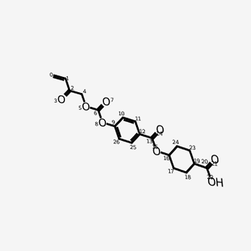 C=CC(=O)COC(=O)Oc1ccc(C(=O)OC2CCC(C(=O)O)CC2)cc1